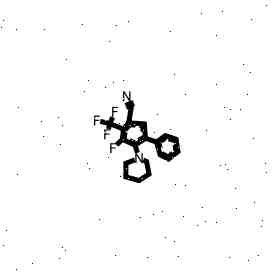 N#Cc1cc(-c2ccccc2)c(N2CCCCC2)c(F)c1C(F)(F)F